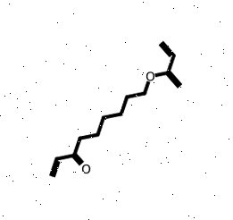 C=CC(=C)OCCCCCCC(=O)C=C